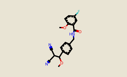 COc1ccc(F)cc1C(=O)NCc1ccc(C(OC)C(C#N)C#N)cc1